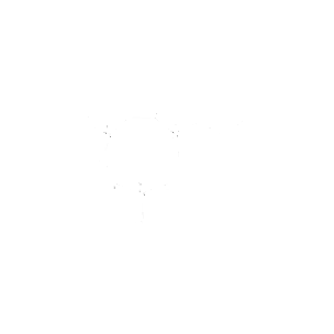 CCCN1CCN(C)CCN(C)CC1